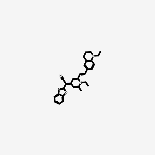 CCN1C(C)=C/C(=C(/C#N)c2nc3ccccc3o2)C=C1C=Cc1ccc2c(c1)CCCN2CC